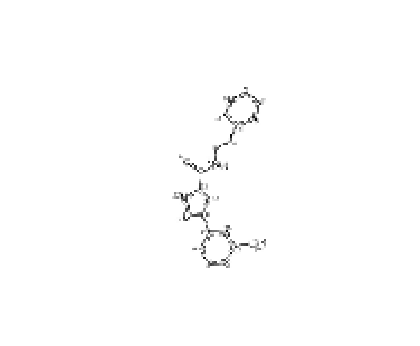 O=C(NCCc1cccnc1)c1cc(-c2cccc(O)c2)on1